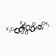 Cc1cn(-c2ccc3n(c2=O)CCN(C[C@]24c5cc(C(F)(F)F)ccc5OCC2C4(F)F)C3=O)cn1